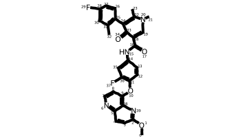 COc1ccc2nccc(Oc3ccc(NC(=O)c4cn(C)c(C)c(-c5ccc(F)cc5C)c4=O)cc3F)c2n1